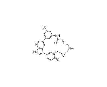 CN(C)CC=CC(=O)Nc1cc(-c2cnc3[nH]cc(-c4ccc(=O)n(CC5CC5)c4)c3c2)cc(C(F)(F)F)c1